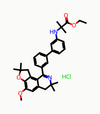 CCOC(=O)C(C)(C)Nc1cccc(-c2cccc(C3=NC(C)(C)Cc4cc(OC)c5c(c43)CC(C)(C)O5)c2)c1.Cl